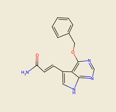 NC(=O)C=Cc1c[nH]c2ncnc(OCc3ccccc3)c12